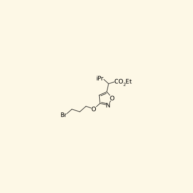 CCOC(=O)C(c1cc(OCCCBr)no1)C(C)C